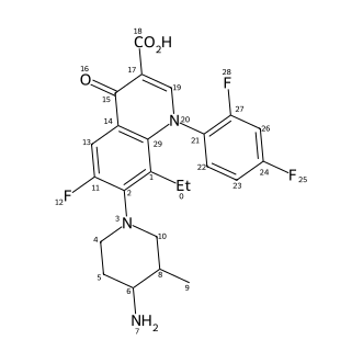 CCc1c(N2CCC(N)C(C)C2)c(F)cc2c(=O)c(C(=O)O)cn(-c3ccc(F)cc3F)c12